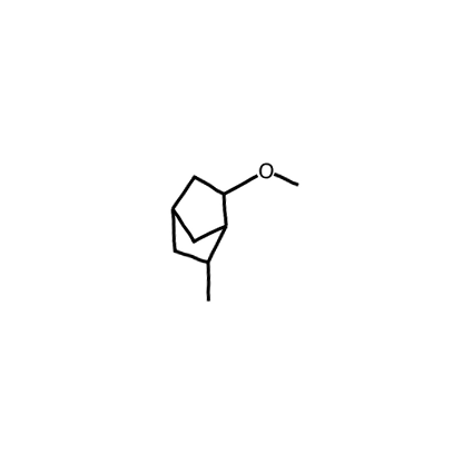 COC1CC2CC(C)C1C2